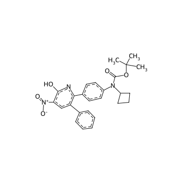 CC(C)(C)OC(=O)N(c1ccc(-c2nc(O)c([N+](=O)[O-])cc2-c2ccccc2)cc1)C1CCC1